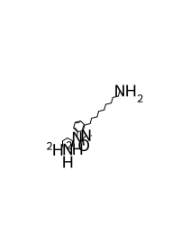 [2H]C1CCC(n2c(=O)n(C)c3c(CCCCCCCCCN)cccc32)C([2H])N1